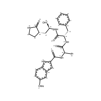 COc1ccc2[nH]c(C(=O)NC(C(=O)N[C@@H](Cc3ccccc3)C(=O)N[C@H](C=O)C[C@@H]3CCNC3=O)C(C)C)cc2c1